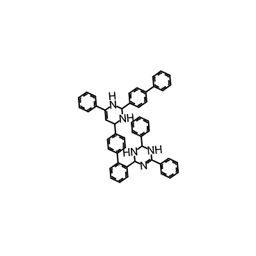 C1=C(c2ccccc2)NC(c2ccc(-c3ccccc3)cc2)NC1c1ccc(-c2ccccc2C2N=C(c3ccccc3)NC(c3ccccc3)N2)cc1